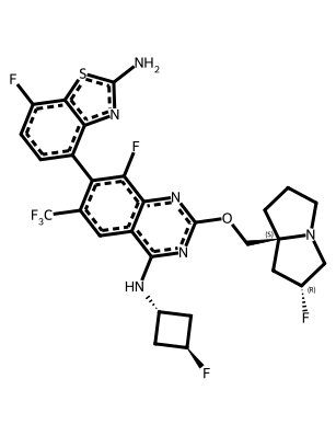 Nc1nc2c(-c3c(C(F)(F)F)cc4c(N[C@H]5C[C@H](F)C5)nc(OC[C@@]56CCCN5C[C@H](F)C6)nc4c3F)ccc(F)c2s1